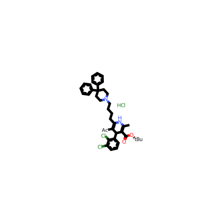 CC(=O)C1=C(CCCCN2CCC(c3ccccc3)(c3ccccc3)CC2)NC(C)=C(C(=O)OC(C)(C)C)C1c1cccc(Cl)c1Cl.Cl